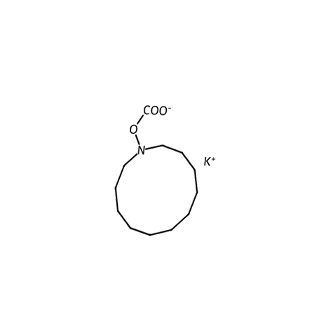 O=C([O-])ON1CCCCCCCCCCC1.[K+]